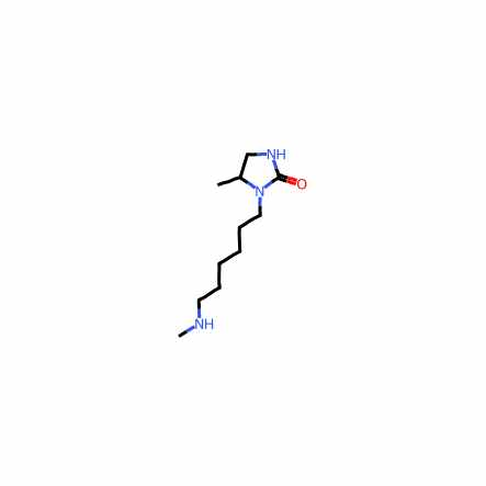 CNCCCCCCN1C(=O)NCC1C